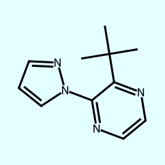 CC(C)(C)c1nccnc1-n1cccn1